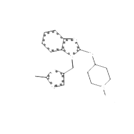 CCOC(=O)N1CCC(Nc2nc3ccccc3n2Cc2cnc(C)o2)CC1